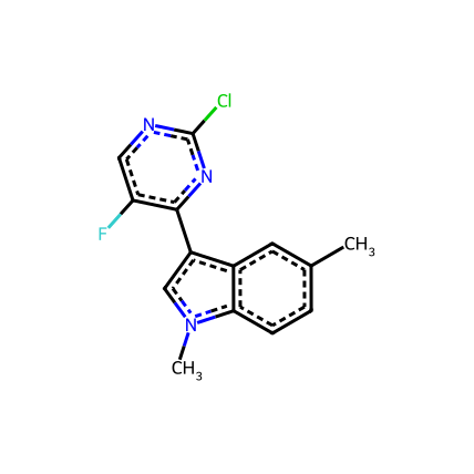 Cc1ccc2c(c1)c(-c1nc(Cl)ncc1F)cn2C